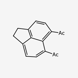 CC(=O)c1ccc2c3c(ccc(C(C)=O)c13)CC2